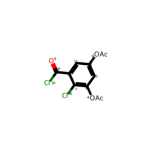 CC(=O)Oc1cc(OC(C)=O)c(Cl)c(C(=O)Cl)c1